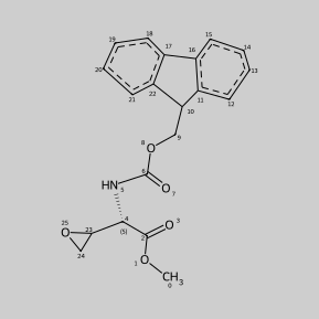 COC(=O)[C@@H](NC(=O)OCC1c2ccccc2-c2ccccc21)C1CO1